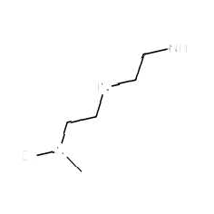 CCN(C)CCNCCN